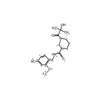 CC(C)(O)C(=O)N1CCCC(C(=O)NCc2ccc(C#N)cc2OC(F)(F)F)C1